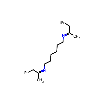 CC(CC(C)C)=NCCCCCCN=C(C)CC(C)C